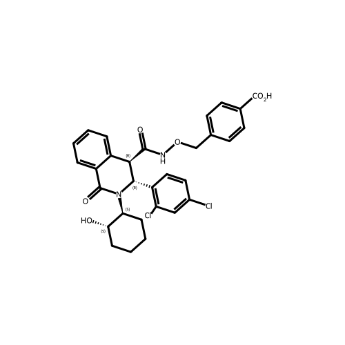 O=C(O)c1ccc(CONC(=O)[C@@H]2c3ccccc3C(=O)N([C@H]3CCCC[C@@H]3O)[C@H]2c2ccc(Cl)cc2Cl)cc1